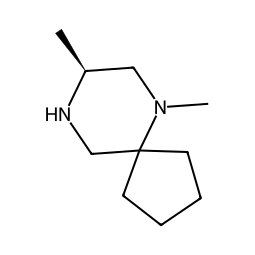 C[C@H]1CN(C)C2(CCCC2)CN1